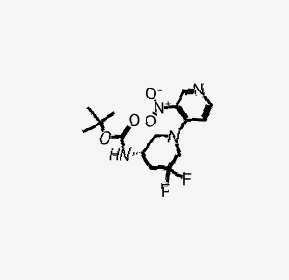 CC(C)(C)OC(=O)N[C@@H]1CN(c2ccncc2[N+](=O)[O-])CC(F)(F)C1